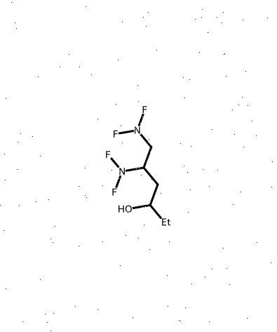 CCC(O)CC(CN(F)F)N(F)F